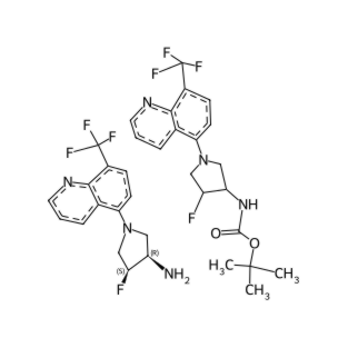 CC(C)(C)OC(=O)NC1CN(c2ccc(C(F)(F)F)c3ncccc23)CC1F.N[C@@H]1CN(c2ccc(C(F)(F)F)c3ncccc23)C[C@@H]1F